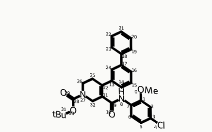 COc1cc(Cl)ccc1NC(=O)C1=C(c2cccc(-c3ccccc3)c2)CCN(C(=O)OC(C)(C)C)C1